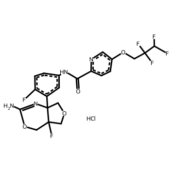 Cl.NC1=NC2(c3cc(NC(=O)c4ccc(OCC(F)(F)C(F)F)cn4)ccc3F)COCC2(F)CO1